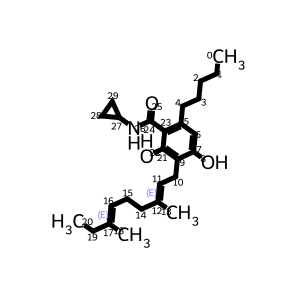 CCCCCc1cc(O)c(C/C=C(\C)CC/C=C(\C)CC)c(O)c1C(=O)NC1CC1